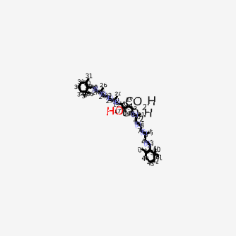 CC1=C(/C=C/C(C)=C/C=C/C(C)=C/CC(C(=O)O)C(O)(C/C=C(C)/C=C/C=C(C)/C=C/C2=C(C)CCCC2(C)C)C(=O)O)C(C)(C)CCC1